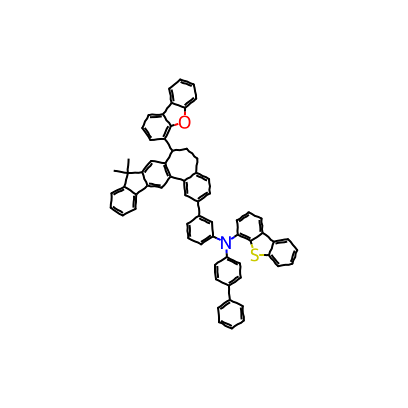 CC1(C)c2ccccc2-c2cc3c(cc21)C(c1cccc2c1oc1ccccc12)CCc1ccc(-c2cccc(N(c4ccc(-c5ccccc5)cc4)c4cccc5c4sc4ccccc45)c2)cc1-3